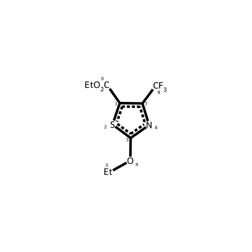 CCOC(=O)c1sc(OCC)nc1C(F)(F)F